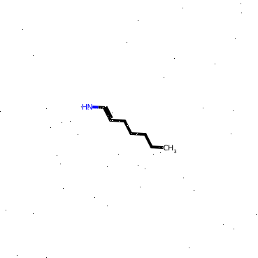 CCCCCC=C[NH]